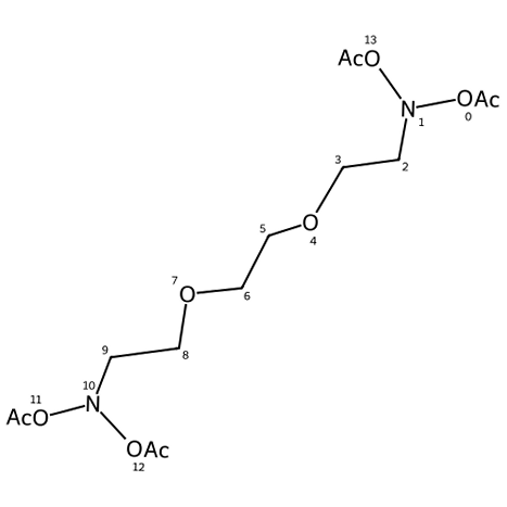 CC(=O)ON(CCOCCOCCN(OC(C)=O)OC(C)=O)OC(C)=O